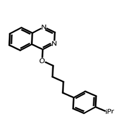 CC(C)c1ccc(CCCCOc2ncnc3ccccc23)cc1